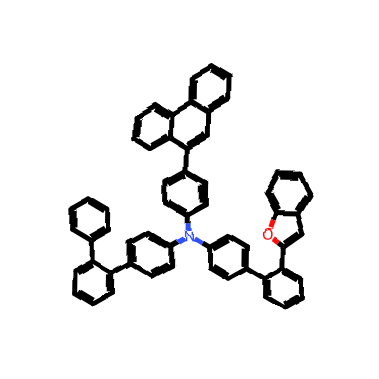 c1ccc(-c2ccccc2-c2ccc(N(c3ccc(-c4ccccc4-c4cc5ccccc5o4)cc3)c3ccc(-c4cc5ccccc5c5ccccc45)cc3)cc2)cc1